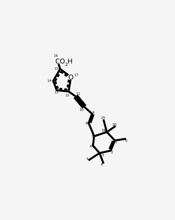 CC1=CC(C)(C)CC(C=CC#Cc2ccc(C(=O)O)o2)C1(C)C